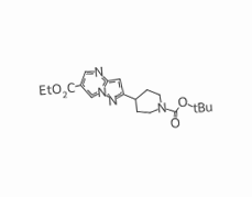 CCOC(=O)c1cnc2cc(C3CCN(C(=O)OC(C)(C)C)CC3)nn2c1